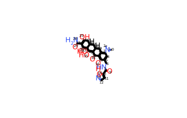 CN(C)c1cc(CNC(=O)c2ccno2)c(O)c2c1C[C@H]1C[C@H]3CC(O)=C(C(N)=O)C(=O)[C@@]3(O)C(O)=C1C2=O